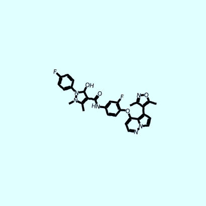 CC1=C(C(=O)Nc2ccc(Oc3ccnn4ccc(-c5c(C)noc5C)c34)c(F)c2)C(O)N(c2ccc(F)cc2)N1C